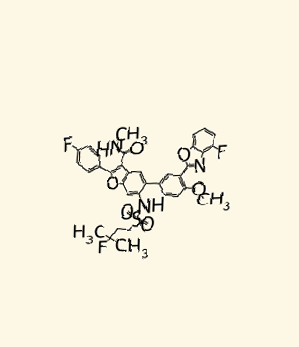 CNC(=O)c1c(-c2ccc(F)cc2)oc2cc(NS(=O)(=O)CCC(C)(C)F)c(-c3ccc(OC)c(-c4nc5c(F)cccc5o4)c3)cc12